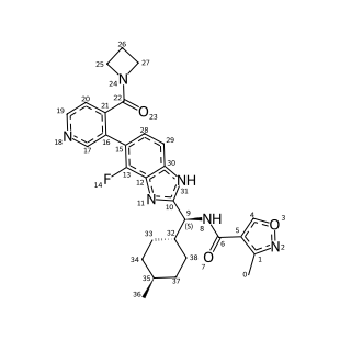 Cc1nocc1C(=O)N[C@H](c1nc2c(F)c(-c3cnccc3C(=O)N3CCC3)ccc2[nH]1)[C@H]1CC[C@H](C)CC1